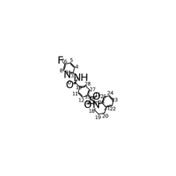 O=C(Nc1ccc(F)cn1)c1ccc(S(=O)(=O)N2CCCc3ccccc32)cc1